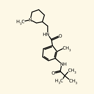 Cc1c(NC(=O)C(C)(C)C)cccc1C(=O)NCC1CCCN(C)C1